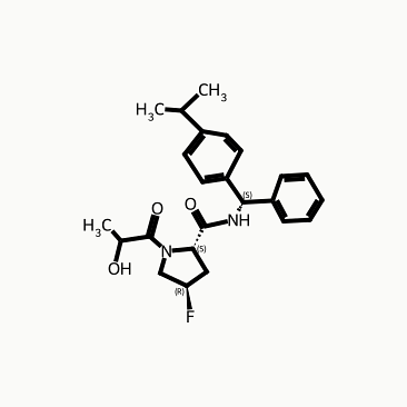 CC(O)C(=O)N1C[C@H](F)C[C@H]1C(=O)N[C@@H](c1ccccc1)c1ccc(C(C)C)cc1